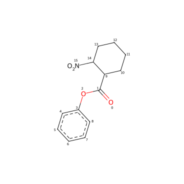 O=C(Oc1ccccc1)C1CCCCC1[N+](=O)[O-]